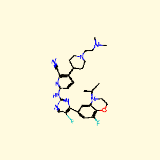 CC(C)N1CCOc2c(F)cc(-c3nc(Nc4ccc(C5CCN(CCN(C)C)CC5)c(C#N)n4)ncc3F)cc21